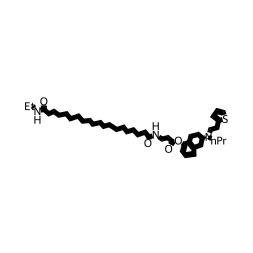 CCCN(CCc1cccs1)[C@@H]1CCc2c(cccc2OC(=O)CCNC(=O)CCCCCCCCCCCCCCCCCCC(=O)NCC)C1